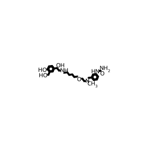 CN(CCOCCCCCCNCC(O)c1ccc(O)c(CO)c1)Cc1cccc(NC(N)=O)c1